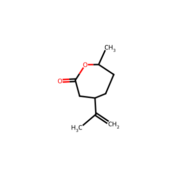 C=C(C)C1CCC(C)OC(=O)C1